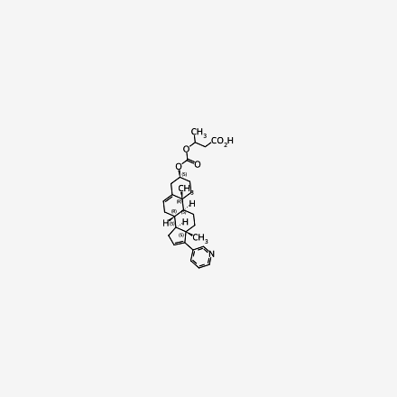 CC(CC(=O)O)OC(=O)O[C@H]1CC[C@@]2(C)C(=CC[C@@H]3[C@@H]2CC[C@]2(C)C(c4cccnc4)=CC[C@@H]32)C1